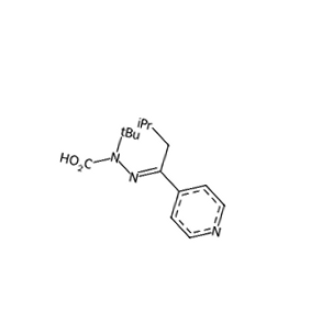 CC(C)CC(=NN(C(=O)O)C(C)(C)C)c1ccncc1